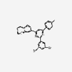 Cc1ccc(-c2cc(-c3ccc4ccccc4c3)nc(-c3cc(Br)cc(Br)c3)n2)cc1